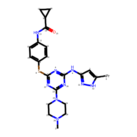 CC(C)c1cc(Nc2nc(Sc3ccc(NC(=O)C4CC4)cc3)nc(N3CCN(C)CC3)n2)n[nH]1